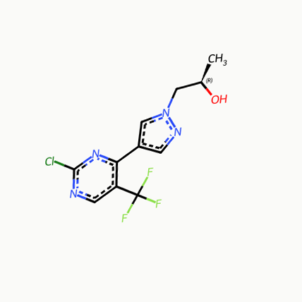 C[C@@H](O)Cn1cc(-c2nc(Cl)ncc2C(F)(F)F)cn1